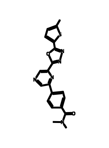 Cc1ccc(-c2nnc(-c3cncc(-c4ccc(C(=O)N(C)C)cc4)n3)o2)s1